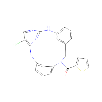 O=C(c1cccs1)N1Cc2cccc(c2)Nc2ncc(Cl)c(n2)Nc2cccc1c2